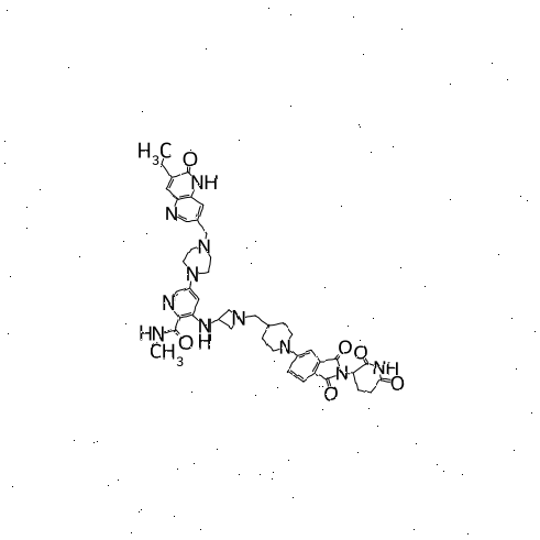 CCc1cc2ncc(CN3CCN(c4cnc(C(=O)NC)c(NC5CN(CC6CCN(c7ccc8c(c7)C(=O)N(C7CCC(=O)NC7=O)C8=O)CC6)C5)c4)CC3)cc2[nH]c1=O